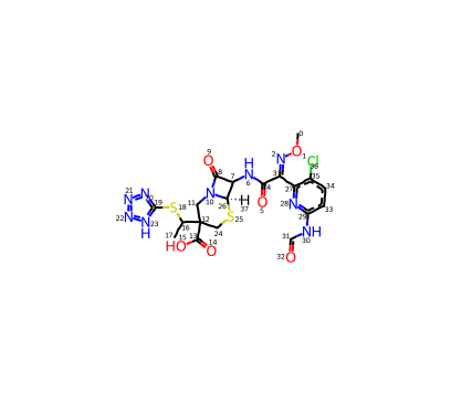 CON=C(C(=O)NC1C(=O)N2CC(C(=O)O)(C(C)Sc3nnn[nH]3)CS[C@H]12)c1nc(NC=O)ccc1Cl